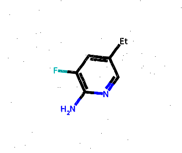 CCc1cnc(N)c(F)c1